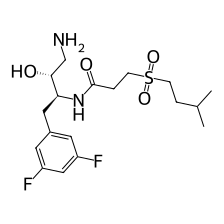 CC(C)CCS(=O)(=O)CCC(=O)N[C@@H](Cc1cc(F)cc(F)c1)[C@H](O)CN